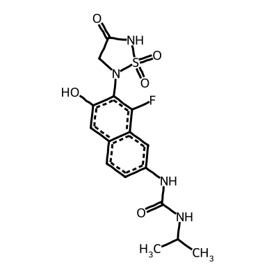 CC(C)NC(=O)Nc1ccc2cc(O)c(N3CC(=O)NS3(=O)=O)c(F)c2c1